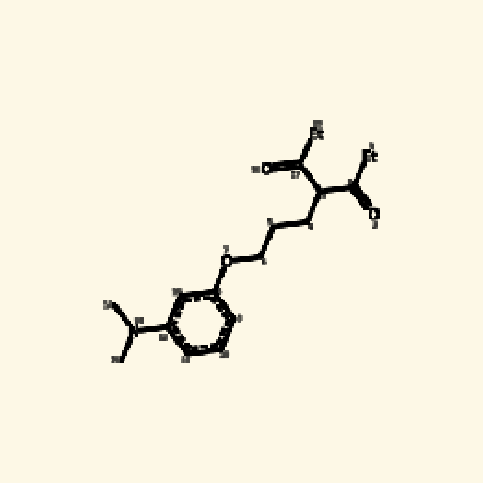 CCC(=O)C(CCCOc1cccc(N(C)C)c1)C(=O)CC